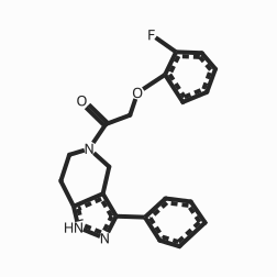 O=C(COc1ccccc1F)N1CCc2[nH]nc(-c3ccccc3)c2C1